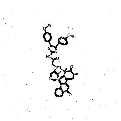 CCOc1ccc(-c2nc(NC(=O)CN3CN(C4(C)C(=O)C(C)C=c5c4ccc4c5=CC(=O)c5ccccc5-4)c4ncncc43)sc2-c2ccc(OCC)cc2)cc1